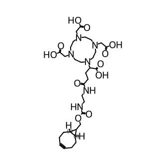 O=C(O)CN1CCN(CC(=O)O)CCN(C(CCC(=O)NCCNC(=O)OCC2[C@H]3CCC#CCC[C@@H]23)C(=O)O)CCN(CC(=O)O)CC1